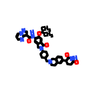 CC(C)Oc1cc2c(cc1NC(=O)c1cnn3cccnc13)CN(C1CCC(CN3CCc4cc(C5CCC(=O)NC5=O)ccc4C3)CC1)C2=O